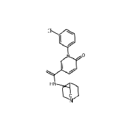 C=C(NC1CN2CCC1CC2)c1ccc(=O)n(-c2cccc(Cl)c2)c1